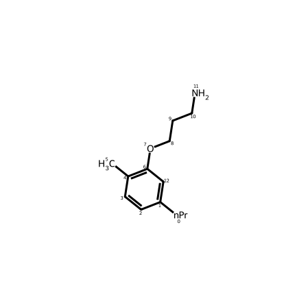 CCCc1ccc(C)c(OCCCN)c1